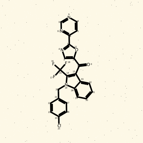 O=C(c1cnc(-c2ccncn2)o1)c1c(C(F)(F)F)n(Cc2ccc(Cl)cc2)c2ccccc12